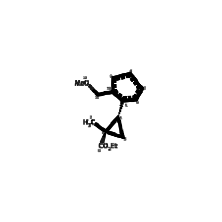 CCOC(=O)[C@]1(C)C[C@H]1c1ccccc1COC